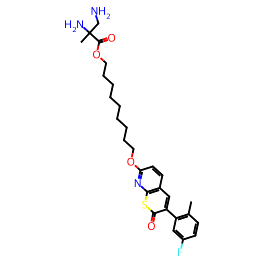 Cc1ccc(F)cc1-c1cc2ccc(OCCCCCCCCCOC(=O)C(C)(N)CN)nc2sc1=O